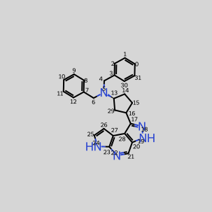 c1ccc(CN(Cc2ccccc2)[C@H]2CCC(c3n[nH]c4cnc5[nH]ccc5c34)C2)cc1